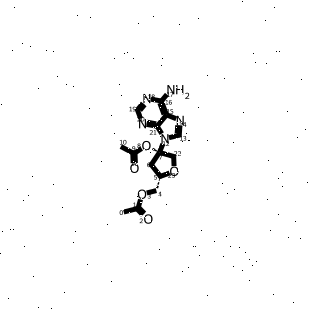 CC(=O)OC[C@@H]1C[C@@](OC(C)=O)(n2cnc3c(N)ncnc32)CO1